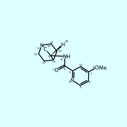 COc1ccnc(C(=O)N[C@H]2CN3CCC2CC3)c1